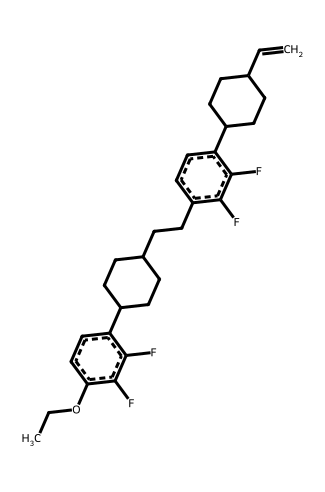 C=CC1CCC(c2ccc(CCC3CCC(c4ccc(OCC)c(F)c4F)CC3)c(F)c2F)CC1